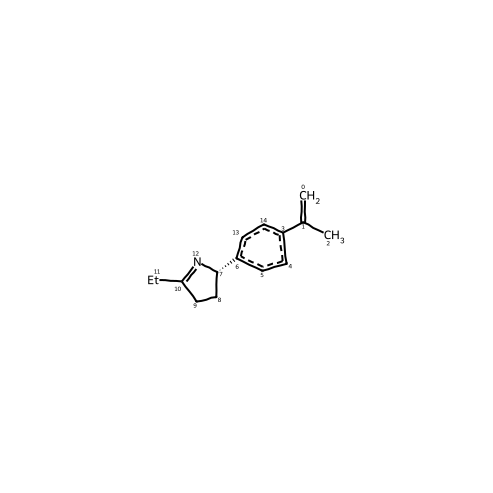 C=C(C)c1ccc([C@@H]2CCC(CC)=N2)cc1